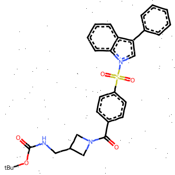 CC(C)(C)OC(=O)NCC1CN(C(=O)c2ccc(S(=O)(=O)n3cc(-c4ccccc4)c4ccccc43)cc2)C1